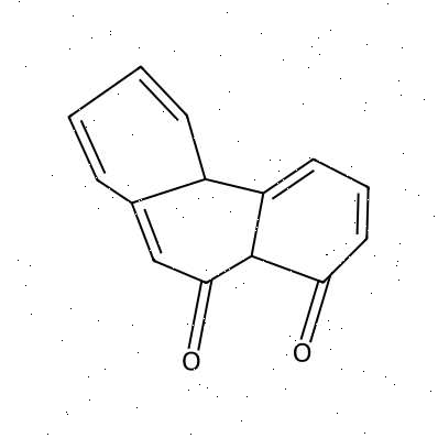 O=C1C=CC=C2C3C=CC=CC3=CC(=O)C12